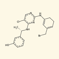 C[C@H](Nc1nc(NC2=CC(CBr)=CCC2)ncc1Cl)c1cccc(O)c1